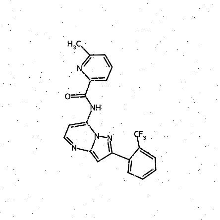 Cc1cccc(C(=O)Nc2ccnc3cc(-c4ccccc4C(F)(F)F)nn23)n1